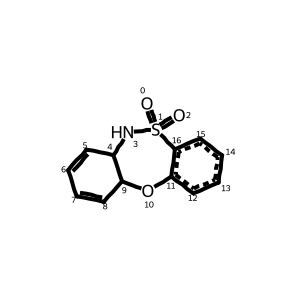 O=S1(=O)NC2C=CC=CC2Oc2ccccc21